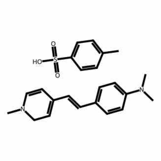 CN1C=CC(C=Cc2ccc(N(C)C)cc2)=CC1.Cc1ccc(S(=O)(=O)O)cc1